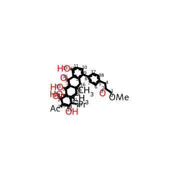 COCC(=O)Cc1ccc(-c2ccc(O)c3c2C[C@]2(C)C[C@]4(C)C(C(C)C)C(O)=C(C(C)=O)C(=O)[C@]4(O)C(O)=C2C3=O)cc1